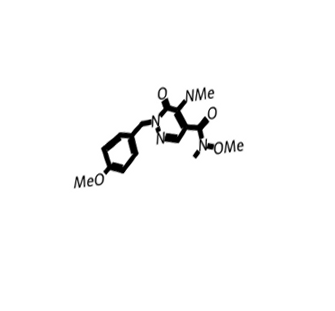 CNc1c(C(=O)N(C)OC)cnn(Cc2ccc(OC)cc2)c1=O